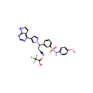 COc1ccc(NS(=O)(=O)c2cccc(C(CC#N)n3cc(-c4ncnc5[nH]ccc45)cn3)c2)cc1.O=C(O)C(F)(F)F